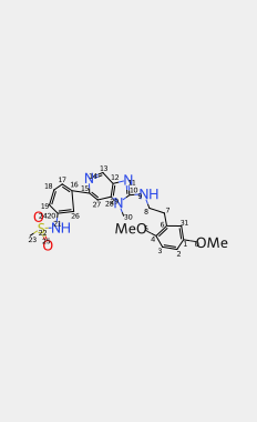 COc1ccc(OC)c(CCNc2nc3cnc(-c4cccc(NS(C)(=O)=O)c4)cc3n2C)c1